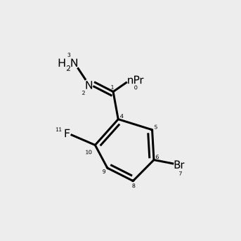 CCCC(=NN)c1cc(Br)ccc1F